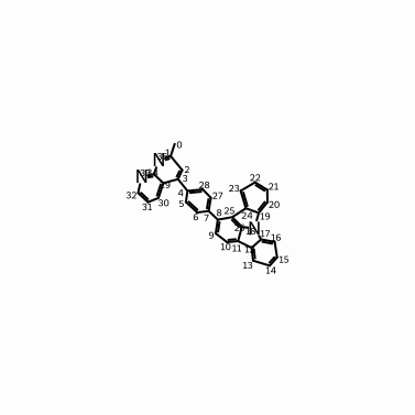 Cc1cc(-c2ccc(-c3ccc4c5ccccc5n5c6ccccc6c3c45)cc2)c2cccnc2n1